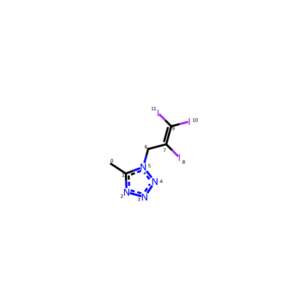 Cc1nnnn1CC(I)=C(I)I